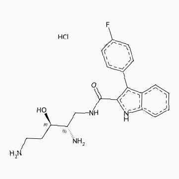 Cl.NCC[C@@H](O)[C@@H](N)CNC(=O)c1[nH]c2ccccc2c1-c1ccc(F)cc1